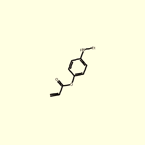 C=CC(=O)Oc1ccc(NCC)cc1